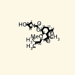 COC1[C@H](OC(=O)N2CC(O)C2)CCC2(CO2)[C@H]1[C@@]1(C)O[C@@H]1CC=C(C)C